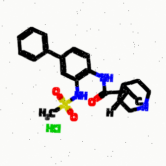 CS(=O)(=O)Nc1cc(-c2ccccc2)ccc1NC(=O)[C@H]1CN2CCC1CC2.Cl